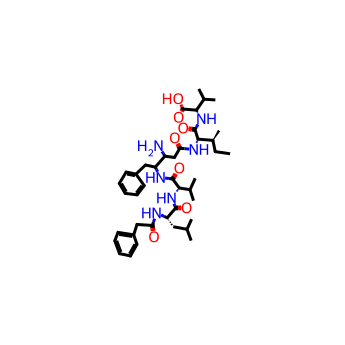 CC[C@H](C)[C@H](NC(=O)CC(N)C(Cc1ccccc1)NC(=O)[C@@H](NC(=O)[C@H](CC(C)C)NC(=O)Cc1ccccc1)C(C)C)C(=O)N[C@H](C(=O)O)C(C)C